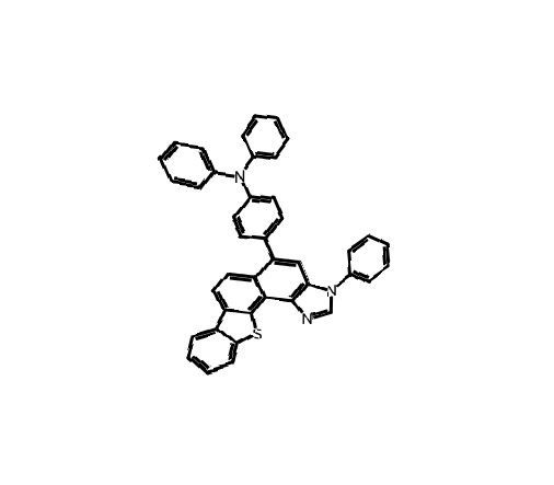 c1ccc(N(c2ccccc2)c2ccc(-c3cc4c(ncn4-c4ccccc4)c4c3ccc3c5ccccc5sc34)cc2)cc1